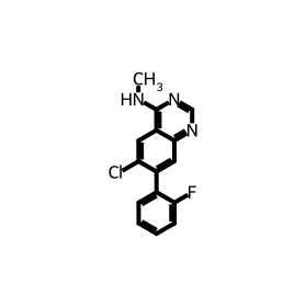 CNc1ncnc2cc(-c3ccccc3F)c(Cl)cc12